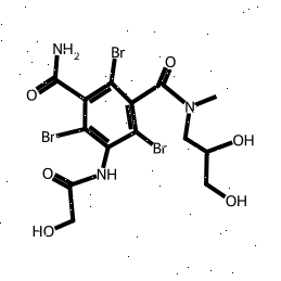 CN(CC(O)CO)C(=O)c1c(Br)c(NC(=O)CO)c(Br)c(C(N)=O)c1Br